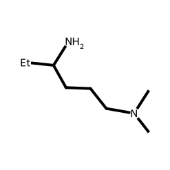 CCC(N)CCCN(C)C